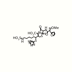 CON=C(C(=O)NC1C(=O)N2C(C(=O)O)=C(C(CCCCCNS(=O)(=O)O)Sc3nnn[nH]3)CS[C@@H]12)c1ccco1